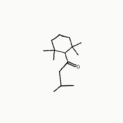 CC(C)CC(=O)C1C(C)(C)CCCC1(C)C